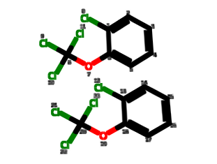 Clc1ccccc1OC(Cl)(Cl)Cl.Clc1ccccc1OC(Cl)(Cl)Cl